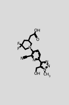 Cn1nnc(-c2ccc(N3CC(CC(=O)O)CC(F)(F)C3)c(C#N)n2)c1CO